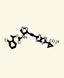 CC(OC(=O)Nc1cnoc1C#Cc1nc2nc(C3(C(=O)O)CC3)sc2s1)c1ccccc1Cl